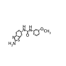 COc1cccc(NC(=O)Nc2ccc3nc(N)sc3c2)c1